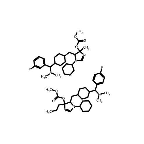 CCCC1(OC(=O)OC)N=CN(C2CCCCC2)C1CC1CCC(C(c2ccc(F)cc2)N(C)C)CC1.COC(=O)OC1(C)N=CN(C2CCCCC2)C1CC1CCC(C(c2cccc(F)c2)N(C)C)CC1